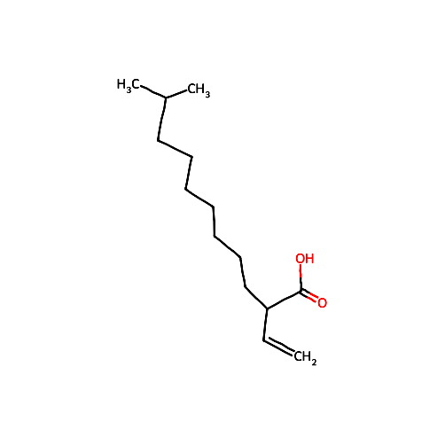 C=CC(CCCCCCCC(C)C)C(=O)O